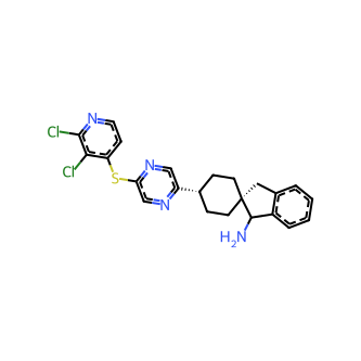 NC1c2ccccc2C[C@]12CC[C@@H](c1cnc(Sc3ccnc(Cl)c3Cl)cn1)CC2